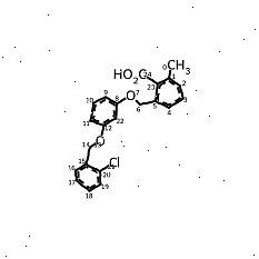 Cc1cccc(COc2cccc(OCc3ccccc3Cl)c2)c1C(=O)O